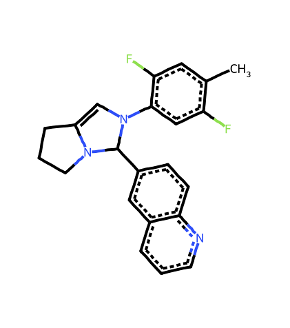 Cc1cc(F)c(N2C=C3CCCN3C2c2ccc3ncccc3c2)cc1F